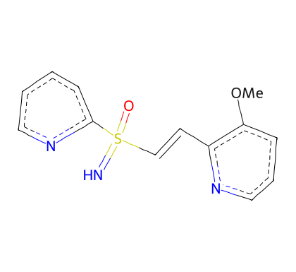 COc1cccnc1/C=C/S(=N)(=O)c1ccccn1